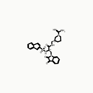 N=C(N)N1CCC[C@@H](CNC(=O)[C@@H](CN2C(=O)C(=O)c3ccccc32)NS(=O)(=O)c2ccc3ccccc3c2)C1